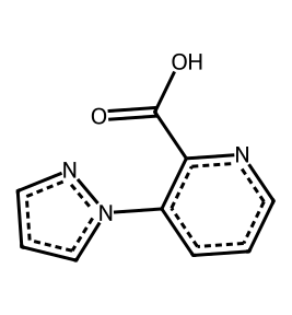 O=C(O)c1ncccc1-n1cccn1